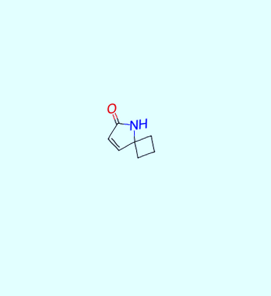 O=C1C=CC2(CCC2)N1